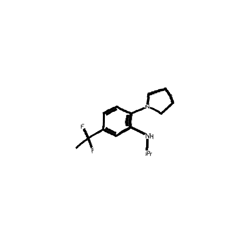 CC(C)Nc1cc(C(C)(F)F)ccc1N1CCCC1